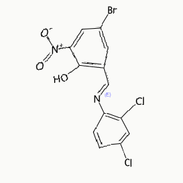 O=[N+]([O-])c1cc(Br)cc(/C=N/c2ccc(Cl)cc2Cl)c1O